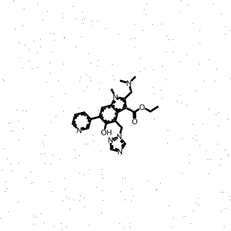 CCOC(=O)c1c(CN(C)C)n(C)c2cc(-c3cccnc3)c(O)c(Cn3cncn3)c12